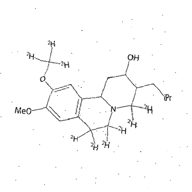 [2H]C([2H])([2H])Oc1cc2c(cc1OC)C([2H])([2H])C([2H])([2H])N1C2CC(O)C(CC(C)C)C1([2H])[2H]